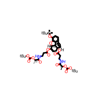 C[C@H](OC(=O)OC(C)(C)C)C(=O)NCCC(=O)OC1=CC[C@@]2(OC(=O)CCNC(=O)[C@H](C)OC(=O)OC(C)(C)C)[C@@H]3CCC[C@@]24c2c(ccc(O[Si](C)(C)C(C)(C)C)c2O[C@@H]14)C3